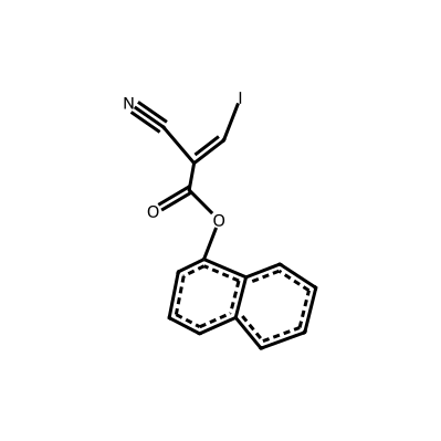 N#CC(=CI)C(=O)Oc1cccc2ccccc12